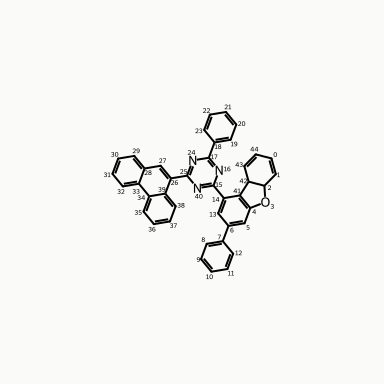 C1=CC2Oc3cc(-c4ccccc4)cc(-c4nc(-c5ccccc5)nc(-c5cc6ccccc6c6ccccc56)n4)c3C2C=C1